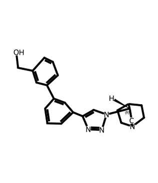 OCc1cccc(-c2cccc(-c3cn([C@H]4CN5CCC4CC5)nn3)c2)c1